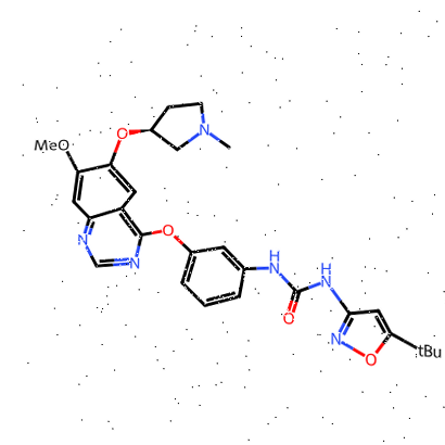 COc1cc2ncnc(Oc3cccc(NC(=O)Nc4cc(C(C)(C)C)on4)c3)c2cc1O[C@H]1CCN(C)C1